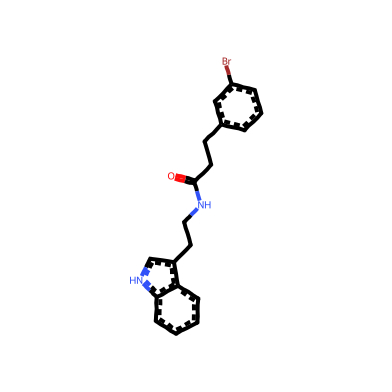 O=C(CCc1cccc(Br)c1)NCCc1c[nH]c2ccccc12